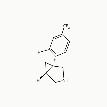 Fc1cc(C(F)(F)F)ccc1[C@]12CNC[C@@H]1C2